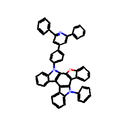 c1ccc(-c2cc(-c3ccc(-n4c5ccccc5c5c6c7ccccc7n(-c7ccccc7)c6c6c7ccccc7oc6c54)cc3)cc(-c3ccccc3)n2)cc1